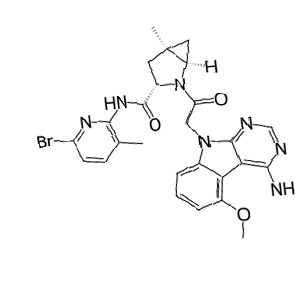 COc1cccc2c1c1c(N)ncnc1n2CC(=O)N1[C@H](C(=O)Nc2nc(Br)ccc2C)C[C@@]2(C)C[C@@H]12